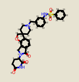 O=C1CCC(N2Cc3c(ccc4c3OCC43CCN(Cc4cccc(NS(=O)(=O)c5ccccc5)c4)CC3)C2=O)C(=O)N1